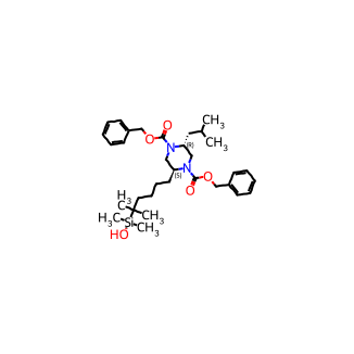 CC(C)C[C@@H]1CN(C(=O)OCc2ccccc2)[C@@H](CCCCC(C)(C)[Si](C)(C)O)CN1C(=O)OCc1ccccc1